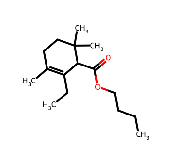 CCCCOC(=O)C1C(CC)=C(C)CCC1(C)C